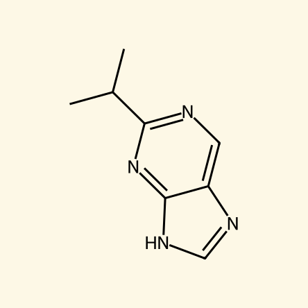 CC(C)c1ncc2nc[nH]c2n1